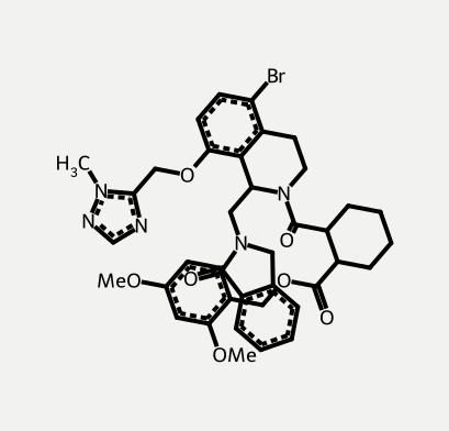 COc1ccc(COC(=O)C2CCCCC2C(=O)N2CCc3c(Br)ccc(OCc4ncnn4C)c3C2CN2Cc3ccccc3C2=O)c(OC)c1